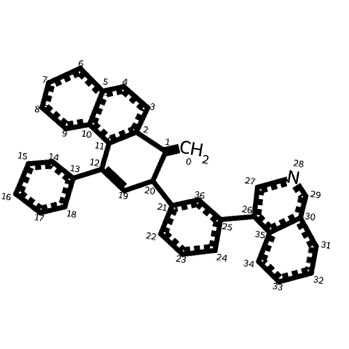 C=C1c2ccc3ccccc3c2C(c2ccccc2)=CC1c1cccc(-c2cncc3ccccc23)c1